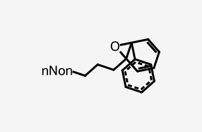 CCCCCCCCCCCCC12C=CC=CC1(c1ccccc1)O2